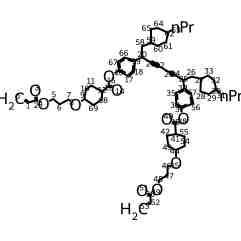 C=CC(=O)OCCCOC1CCC(C(=O)Oc2ccc(C(C#CC#CC(CC3CCC(CCC)CC3)c3ccc(OC(=O)C4CCC(OCCCOC(=O)C=C)CC4)cc3)CC3CCC(CCC)CC3)cc2)CC1